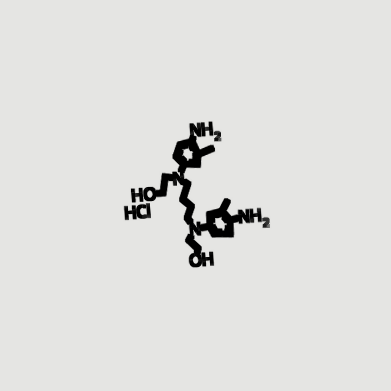 Cc1cc(N(CCO)CCCCN(CCO)c2ccc(N)c(C)c2)ccc1N.Cl